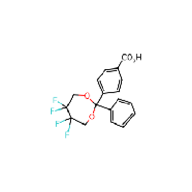 O=C(O)c1ccc(C2(c3ccccc3)OCC(F)(F)C(F)(F)CO2)cc1